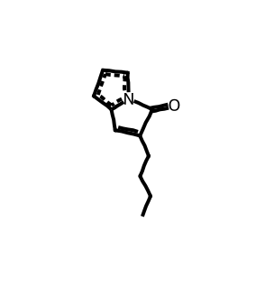 CCCCC1=Cc2cccn2C1=O